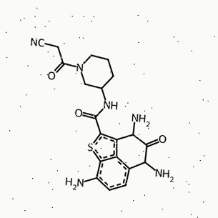 N#CCC(=O)N1CCCC(NC(=O)c2sc3c(N)ccc4c3c2C(N)C(=O)C4N)C1